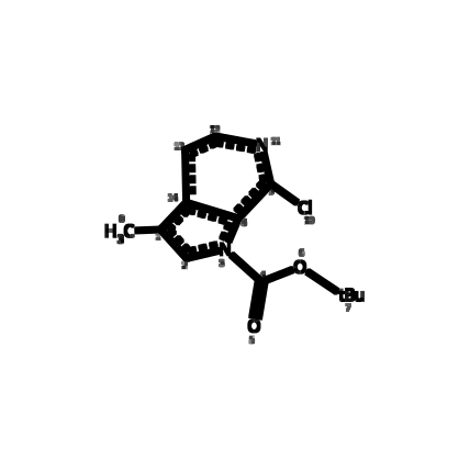 Cc1cn(C(=O)OC(C)(C)C)c2c(Cl)nccc12